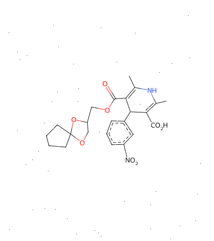 CC1=C(C(=O)O)C(c2cccc([N+](=O)[O-])c2)C(C(=O)OCC2COC3(CCCC3)O2)=C(C)N1